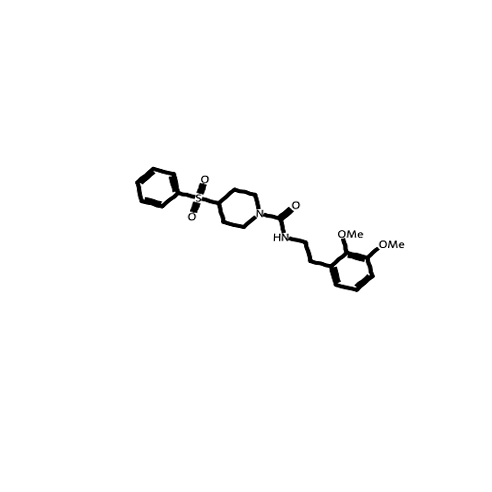 COc1cccc(CCNC(=O)N2CCC(S(=O)(=O)c3ccccc3)CC2)c1OC